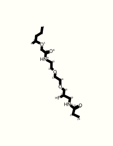 CCCC(C)OCC(=O)NCCOCCOCC(F)CNC(=O)CC